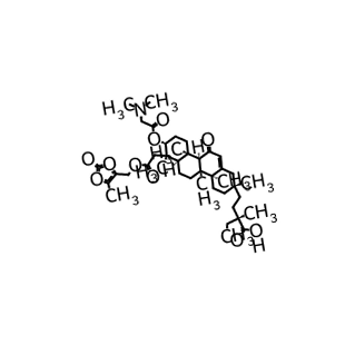 CC[C@](C)(CC[C@]1(C)CC[C@]2(C)C(=CC(=O)[C@@H]3[C@@]4(C)CC[C@H](OC(=O)CN(C)C)[C@@](C)(CC(=O)OCc5oc(=O)oc5C)[C@@H]4CC[C@]32C)C1)C(=O)O